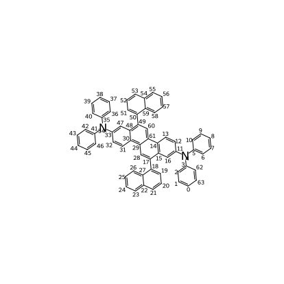 c1ccc(N(c2ccccc2)c2ccc3c(c2)c(-c2cccc4ccccc24)cc2c4ccc(N(c5ccccc5)c5ccccc5)cc4c(-c4cccc5ccccc45)cc32)cc1